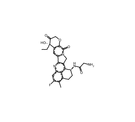 CC[C@@]1(O)C(=O)COc2c1cc1n(c2=O)Cc2c-1nc1cc(F)c(C)c3c1c2[C@@H](NC(=O)CN)CC3